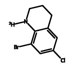 [2H]N1CCCc2cc(Cl)cc(Br)c21